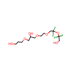 OCCCOCC(O)COCCOCC(F)(F)OC(F)(F)CO